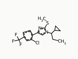 CCC(C1CC1)n1cc(-c2ccc(C(F)(F)F)cc2Cl)nc1SC